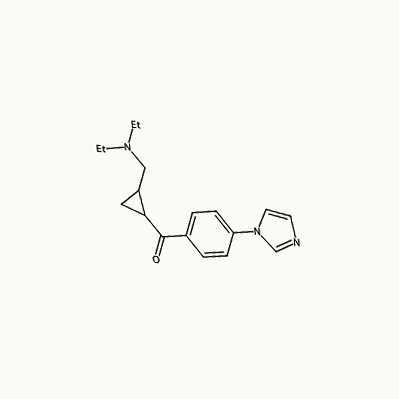 CCN(CC)CC1CC1C(=O)c1ccc(-n2ccnc2)cc1